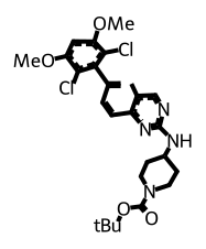 C=C(/C=C\c1nc(NC2CCN(C(=O)OC(C)(C)C)CC2)ncc1C)c1c(Cl)c(OC)cc(OC)c1Cl